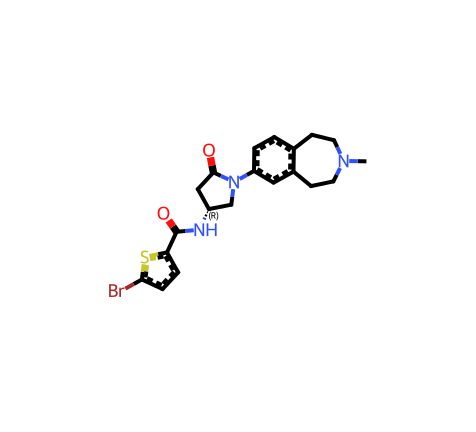 CN1CCc2ccc(N3C[C@H](NC(=O)c4ccc(Br)s4)CC3=O)cc2CC1